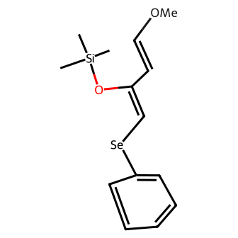 CO/C=C/C(=C/[Se]c1ccccc1)O[Si](C)(C)C